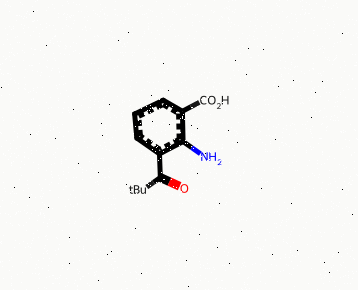 CC(C)(C)C(=O)c1cccc(C(=O)O)c1N